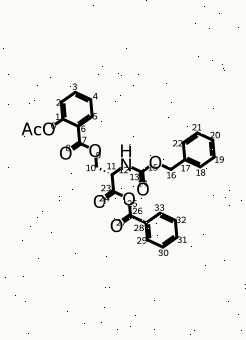 CC(=O)Oc1ccccc1C(=O)OC[C@H](NC(=O)OCc1ccccc1)C(=O)OC(=O)c1ccccc1